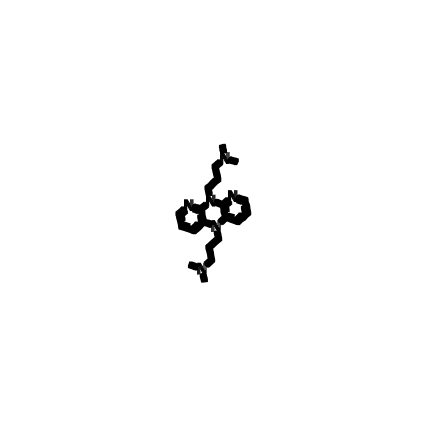 CN(C)CCCN1c2cccnc2N(CCCN(C)C)c2ncccc21